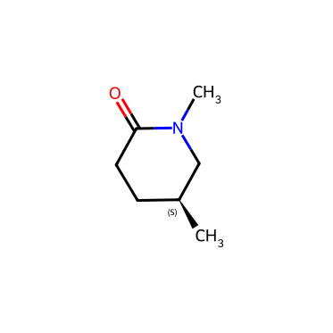 C[C@H]1CCC(=O)N(C)C1